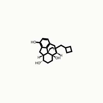 Oc1ccc2c3c1C[C@H]1[C@@H](O)CC[C@@]4(O)[C@@H](C2)N(CC2CCC2)CC[C@]314